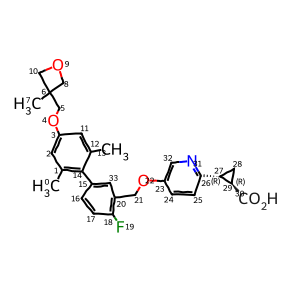 Cc1cc(OCC2(C)COC2)cc(C)c1-c1ccc(F)c(COc2ccc([C@@H]3C[C@H]3C(=O)O)nc2)c1